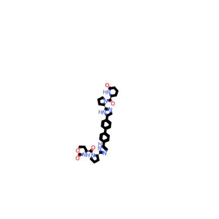 O=C1CCC[C@@H](C(=O)N2CCC[C@H]2C2=NCC(c3ccc(-c4ccc(-c5cnc([C@@H]6CCCN6C(=O)[C@@H]6CCOC(=O)N6)[nH]5)cc4)cc3)N2)N1